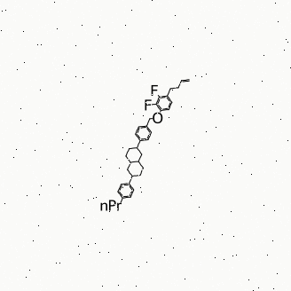 C=CCCc1ccc(OCc2ccc(C3CCC4CC(c5ccc(CCC)cc5)CCC4C3)cc2)c(F)c1F